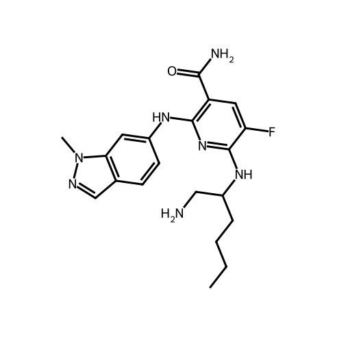 CCCCC(CN)Nc1nc(Nc2ccc3cnn(C)c3c2)c(C(N)=O)cc1F